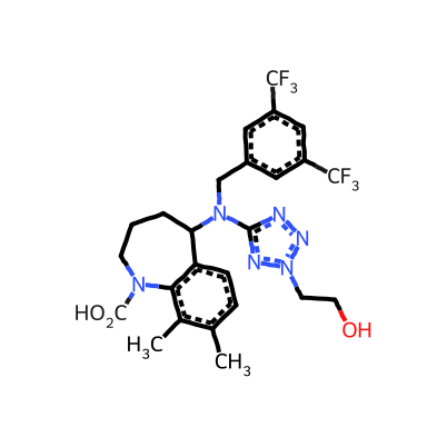 Cc1ccc2c(c1C)N(C(=O)O)CCCC2N(Cc1cc(C(F)(F)F)cc(C(F)(F)F)c1)c1nnn(CCO)n1